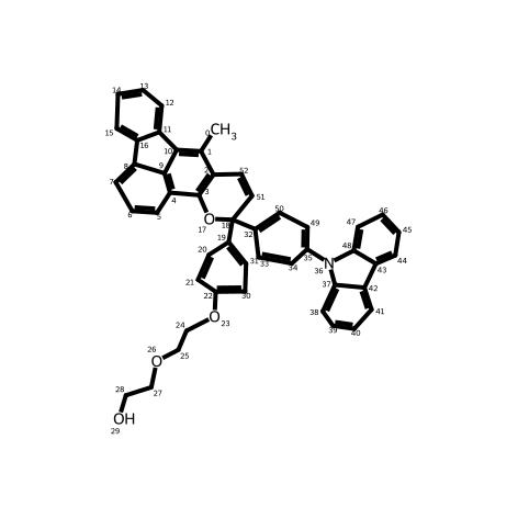 Cc1c2c(c3cccc4c3c1-c1ccccc1-4)OC(c1ccc(OCCOCCO)cc1)(c1ccc(-n3c4ccccc4c4ccccc43)cc1)C=C2